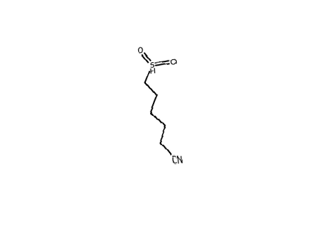 N#CCCCCC[SH](=O)=O